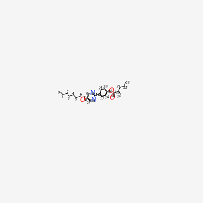 CCCCCCCOc1cnc(-c2ccc(OC(=O)C(C)CCC)cc2)nc1